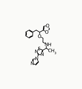 CC(NCCOC(Cc1ccccc1)C1=COCO1)c1nc(-n2ccnc2)ns1